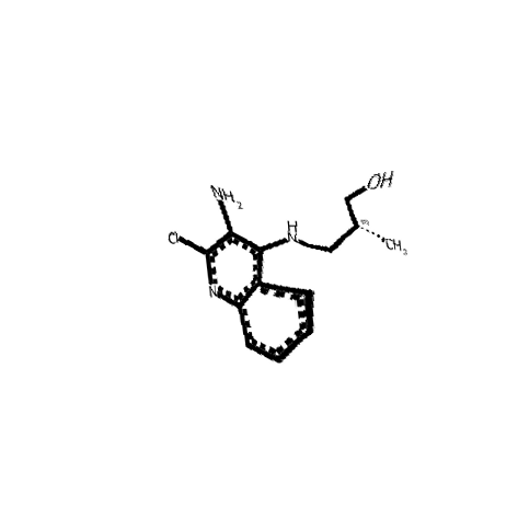 C[C@@H](CO)CNc1c(N)c(Cl)nc2ccccc12